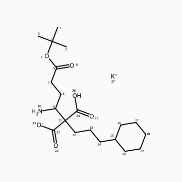 CC(C)(C)OC(=O)CCC(N)C(CCCC1CCCCC1)(C(=O)[O-])C(=O)O.[K+]